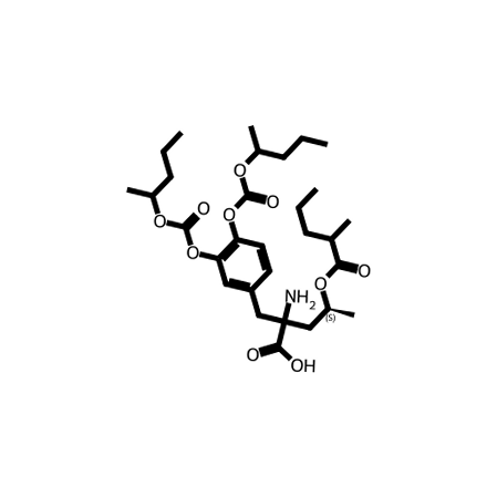 CCCC(C)OC(=O)Oc1ccc(CC(N)(C[C@H](C)OC(=O)C(C)CCC)C(=O)O)cc1OC(=O)OC(C)CCC